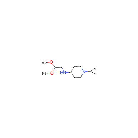 CCOC(CNC1CCN(C2CC2)CC1)OCC